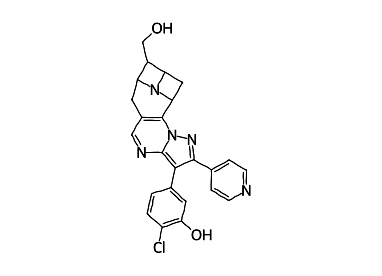 OCC1C2Cc3cnc4c(-c5ccc(Cl)c(O)c5)c(-c5ccncc5)nn4c3C3CC1N32